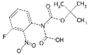 CC(C)(C)OC(=O)N(C(=O)O)c1cccc(F)c1[N+](=O)[O-]